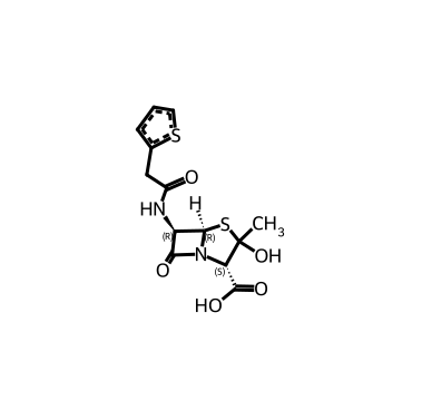 CC1(O)S[C@@H]2[C@H](NC(=O)Cc3cccs3)C(=O)N2[C@H]1C(=O)O